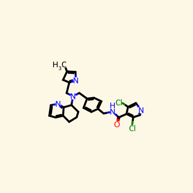 CC1=CN=C(CN(Cc2ccc(CNC(=O)c3c(Cl)cncc3Cl)cc2)C2CCCc3cccnc32)C1